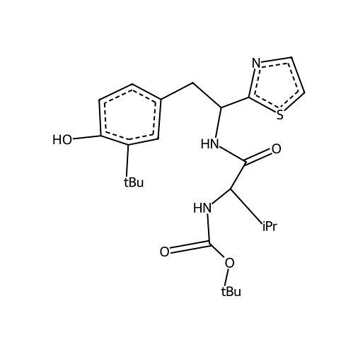 CC(C)C(NC(=O)OC(C)(C)C)C(=O)NC(Cc1ccc(O)c(C(C)(C)C)c1)c1nccs1